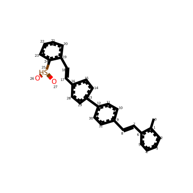 Cc1ccccc1C=Cc1ccc(-c2ccc(C=Cc3ccccc3[SH](=O)=O)cc2)cc1